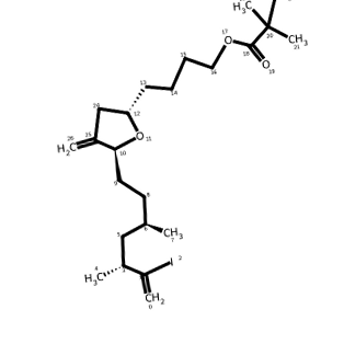 C=C(I)[C@H](C)C[C@H](C)CC[C@@H]1O[C@@H](CCCCOC(=O)C(C)(C)C)CC1=C